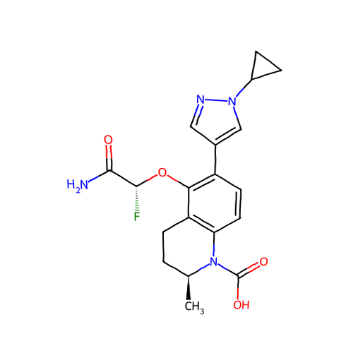 C[C@H]1CCc2c(ccc(-c3cnn(C4CC4)c3)c2O[C@H](F)C(N)=O)N1C(=O)O